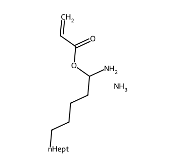 C=CC(=O)OC(N)CCCCCCCCCCC.N